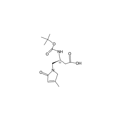 CC1=CC(=O)N(C[C@H](CC(=O)O)NC(=O)OC(C)(C)C)C1